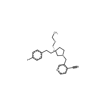 CCOC[C@]1(CCc2ccc(F)cc2)CCN(Cc2cnccc2C#N)C1